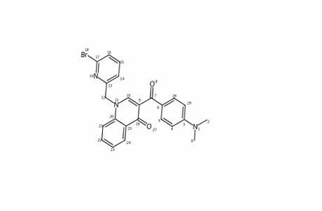 CN(C)c1ccc(C(=O)c2cn(Cc3cccc(Br)n3)c3ccccc3c2=O)cc1